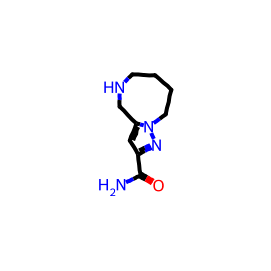 NC(=O)c1cc2n(n1)CCCCNC2